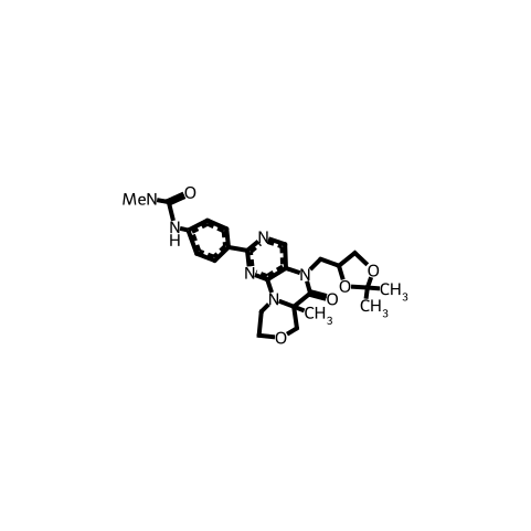 CNC(=O)Nc1ccc(-c2ncc3c(n2)N2CCOCC2(C)C(=O)N3CC2COC(C)(C)O2)cc1